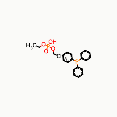 CCOP(=O)(O)OCC.c1ccc(P(c2ccccc2)c2ccccc2)cc1